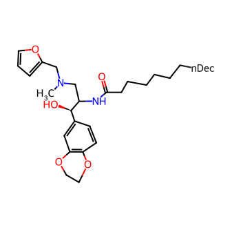 CCCCCCCCCCCCCCCCC(=O)NC(CN(C)Cc1ccco1)[C@H](O)c1ccc2c(c1)OCCO2